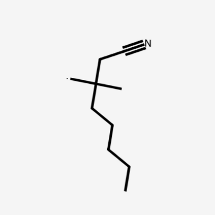 [CH2]C(C)(CC#N)CCCCC